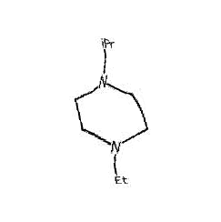 CCN1CCN(C(C)C)CC1